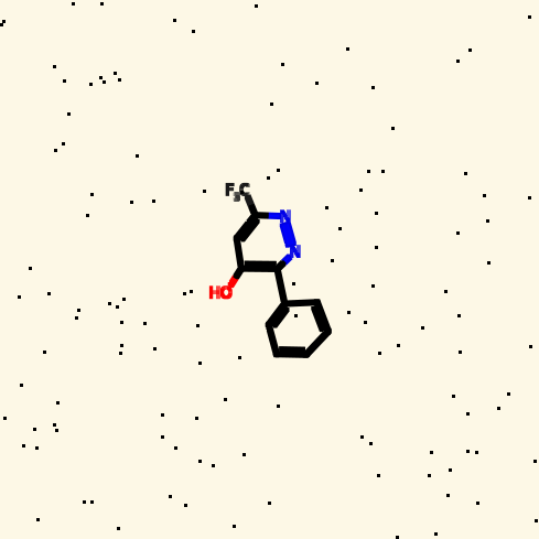 Oc1cc(C(F)(F)F)nnc1-c1ccccc1